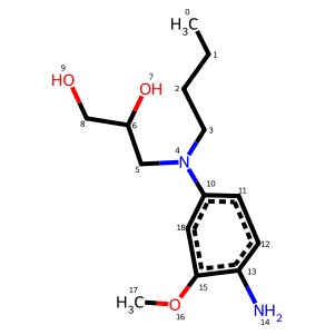 CCCCN(CC(O)CO)c1ccc(N)c(OC)c1